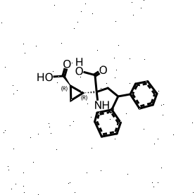 NC(CC(c1ccccc1)c1ccccc1)(C(=O)O)[C@@H]1C[C@H]1C(=O)O